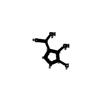 O=C(O)c1csc(Cl)c1O